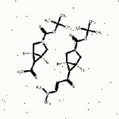 CC(=O)C1[C@H]2CN(C(=O)OC(C)(C)C)C[C@@H]12.CN(C)/C=C/C(=O)C1[C@H]2CN(C(=O)OC(C)(C)C)C[C@@H]12